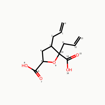 C=CCC1CC(C(=O)O)OC1(CC=C)C(=O)O